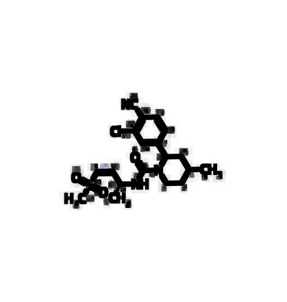 CC1CCN(C(=O)N[C@H](C)/C=C\S(C)(=O)=O)C(c2ccc(C#N)c(Cl)c2)C1